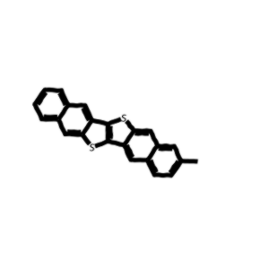 Cc1ccc2cc3c(cc2c1)sc1c2cc4ccccc4cc2sc31